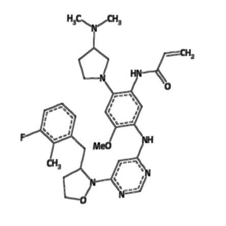 C=CC(=O)Nc1cc(Nc2cc(N3OCCC3Cc3cccc(F)c3C)ncn2)c(OC)cc1N1CCC(N(C)C)C1